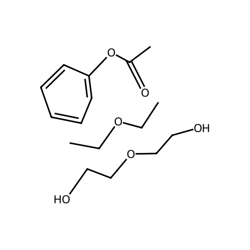 CC(=O)Oc1ccccc1.CCOCC.OCCOCCO